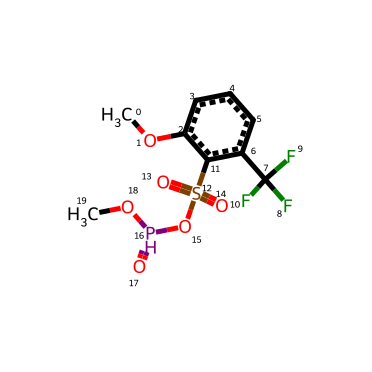 COc1cccc(C(F)(F)F)c1S(=O)(=O)O[PH](=O)OC